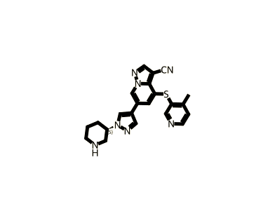 Cc1ccncc1Sc1cc(-c2cnn([C@H]3CCCNC3)c2)cn2ncc(C#N)c12